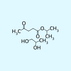 CC(=O)CCC(=O)OC(C)C.CC(O)CO